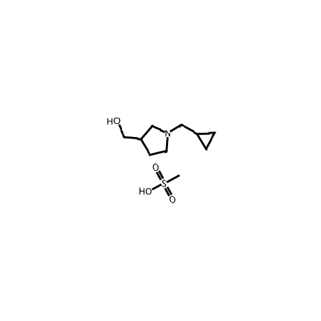 CS(=O)(=O)O.OCC1CCN(CC2CC2)C1